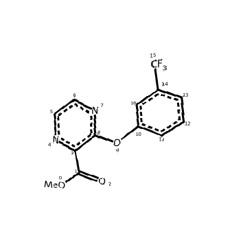 COC(=O)c1nccnc1Oc1cccc(C(F)(F)F)c1